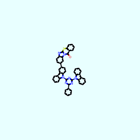 O=c1c2ccccc2sc2nc3ccc(-c4ccc5c(c4)c4ccccc4n5-c4nc(-c5ccccc5)nc(-n5c6ccccc6c6ccccc65)n4)cc3n12